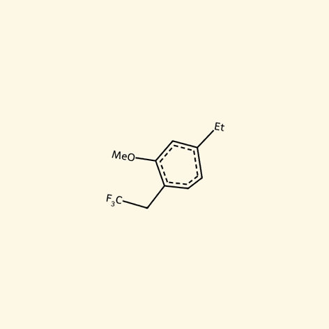 CCc1ccc(CC(F)(F)F)c(OC)c1